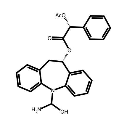 CC(=O)O[C@@H](C(=O)O[C@H]1Cc2ccccc2N(C(N)O)c2ccccc21)c1ccccc1